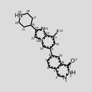 O=c1[nH]ncc2ccc(-c3cc(F)c4nc(C5CCNCC5)cn4c3)cc12